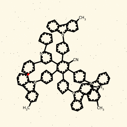 Cc1ccc2c(c1)c1ccccc1n2-c1ccc(-c2c(C#N)c(-c3ccc(-n4c5ccccc5c5cc(C)ccc54)cc3)c(-c3cc(-c4ccccc4)nc(-c4ccccc4)c3)c(-c3ccc(-n4c5ccccc5c5cc(C)ccc54)cc3)c2-c2cccc(-n3c4ccccc4c4cc(C)ccc43)c2)cc1